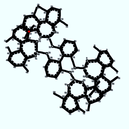 Cc1ccc(C)c2c1op(Oc1cccc(Op3oc4c(C)ccc(C)c4c4c(C)ccc(C)c4o3)c1-c1c(Op3oc4c(C)ccc(C)c4c4c(C)ccc(C)c4o3)cccc1Op1oc3c(C)ccc(C)c3c3c(C)ccc(C)c3o1)oc1c(C)ccc(C)c12